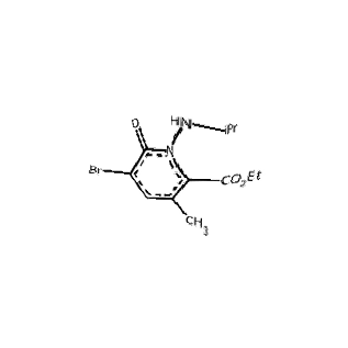 CCOC(=O)c1c(C)cc(Br)c(=O)n1NC(C)C